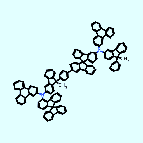 CC1(c2ccccc2)c2ccccc2-c2cc(N(c3ccc4c(c3)-c3ccccc3C43c4ccccc4-c4cc(-c5ccc(C6(C)c7ccccc7-c7cc(N(c8ccc9c%10ccccc%10c%10ccccc%10c9c8)c8cccc9c8-c8ccccc8C98c9ccccc9-c9ccccc98)ccc76)cc5)ccc43)c3ccc4c5ccccc5c5ccccc5c4c3)ccc21